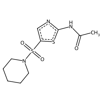 CC(=O)Nc1ncc(S(=O)(=O)N2CCCCC2)s1